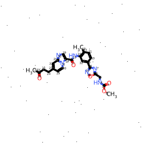 COC(=O)NCc1nc(-c2ccc(C)c(NC(=O)c3cnc4cc(CCC(C)=O)ccn34)c2)no1